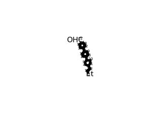 CC/C=C/C1CCC(c2ccc(-c3ccc(C=O)cc3)cc2)CC1